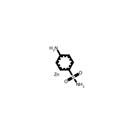 Nc1ccc(S(N)(=O)=O)cc1.[Zn]